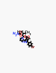 CC[C@H](C)C(OC(N)=O)C(=O)N1CCC[C@H]1c1[nH]c(-c2ccc(Br)cc2)c2c1COC2